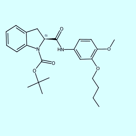 CCCCOc1cc(NC(=O)[C@@H]2Cc3ccccc3N2C(=O)OC(C)(C)C)ccc1OC